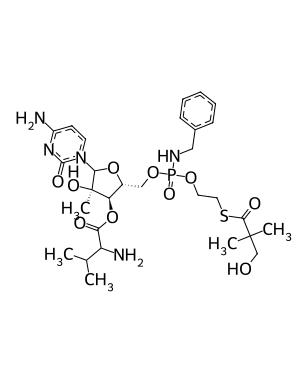 CC(C)C(N)C(=O)O[C@@H]1[C@@H](COP(=O)(NCc2ccccc2)OCCSC(=O)C(C)(C)CO)OC(n2ccc(N)nc2=O)[C@]1(C)O